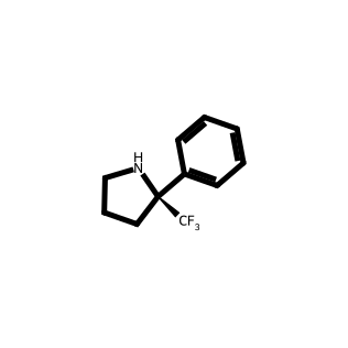 FC(F)(F)[C@@]1(c2ccccc2)CCCN1